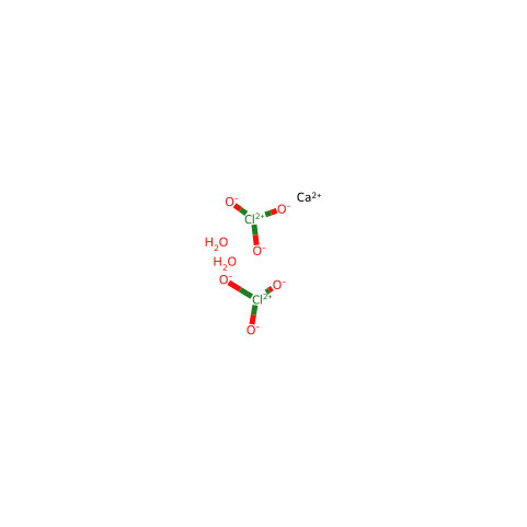 O.O.[Ca+2].[O-][Cl+2]([O-])[O-].[O-][Cl+2]([O-])[O-]